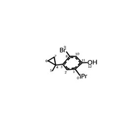 CC(C)c1cc(C2(C)CC2)c(Br)cc1O